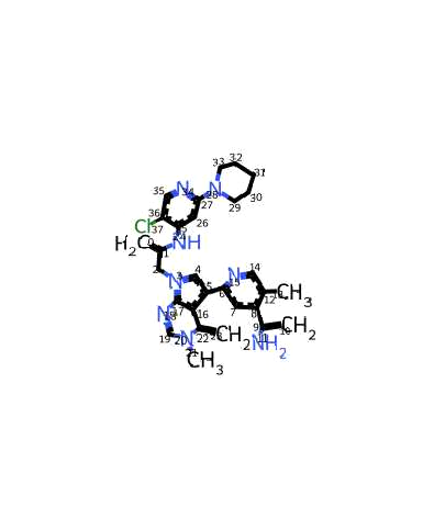 C=C(Cn1cc(-c2cc(C(=C)N)c(C)cn2)c2c1N=CN(C)C2=C)Nc1cc(N2CCCCC2)ncc1Cl